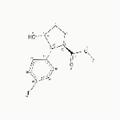 COC(=O)[C@@H]1CC[C@@H](O)[C@H]1c1ccc(F)cc1